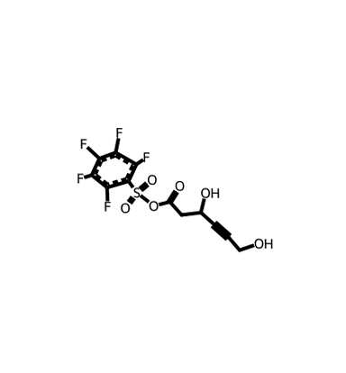 O=C(CC(O)C#CCO)OS(=O)(=O)c1c(F)c(F)c(F)c(F)c1F